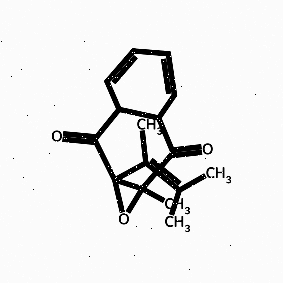 CC(C)=C(C)C12OC1(C)C(=O)C1C=CC=CC1C2=O